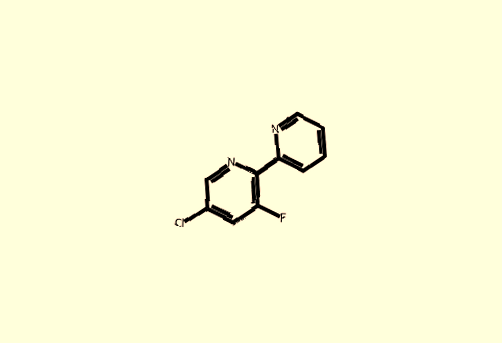 Fc1cc(Cl)cnc1-c1ccccn1